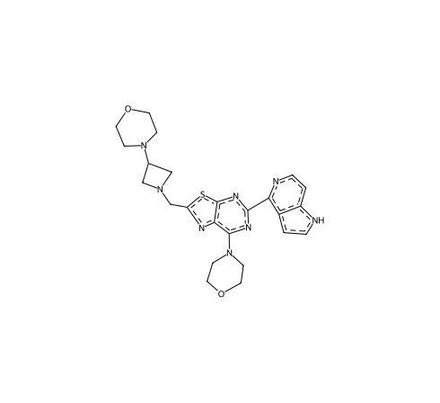 c1cc2[nH]ccc2c(-c2nc(N3CCOCC3)c3nc(CN4CC(N5CCOCC5)C4)sc3n2)n1